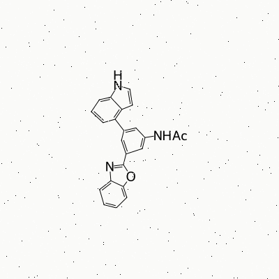 CC(=O)Nc1cc(-c2nc3ccccc3o2)cc(-c2cccc3[nH]ccc23)c1